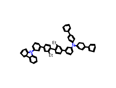 CCc1cc(-c2cccc(N(C3=CC=C(c4ccccc4)CC3)c3ccc(-c4ccccc4)cc3)c2)ccc1-c1ccc(-c2cccc(-n3c4ccccc4c4ccccc43)c2)cc1CC